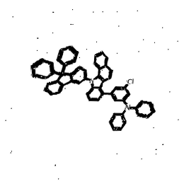 Clc1cc(-c2cccc3c2c2ccc4ccccc4c2n3-c2ccc3c(c2)-c2ccccc2C3(c2ccccc2)c2ccccc2)cc(N(c2ccccc2)c2ccccc2)c1